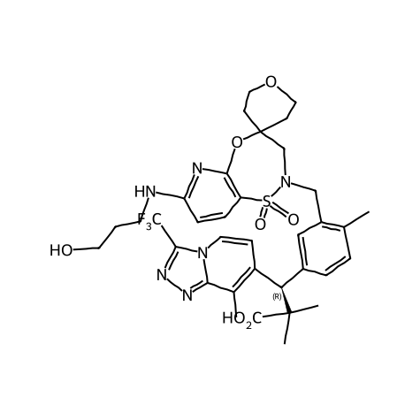 Cc1ccc([C@H](c2ccn3c(C(F)(F)F)nnc3c2C)C(C)(C)C(=O)O)cc1CN1CC2(CCOCC2)Oc2nc(NCCCO)ccc2S1(=O)=O